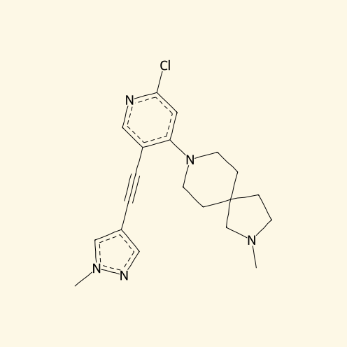 CN1CCC2(CCN(c3cc(Cl)ncc3C#Cc3cnn(C)c3)CC2)C1